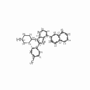 Fc1ccc(-c2nc3c(-c4ccc5ccccc5c4)ccnc3n2C2CCNCC2)cc1